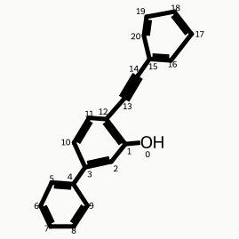 Oc1cc(-c2ccccc2)ccc1C#Cc1ccccc1